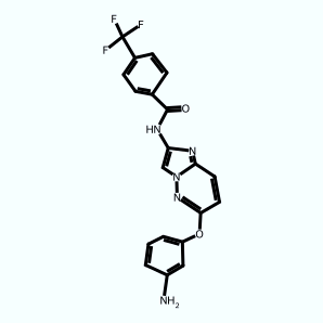 Nc1cccc(Oc2ccc3nc(NC(=O)c4ccc(C(F)(F)F)cc4)cn3n2)c1